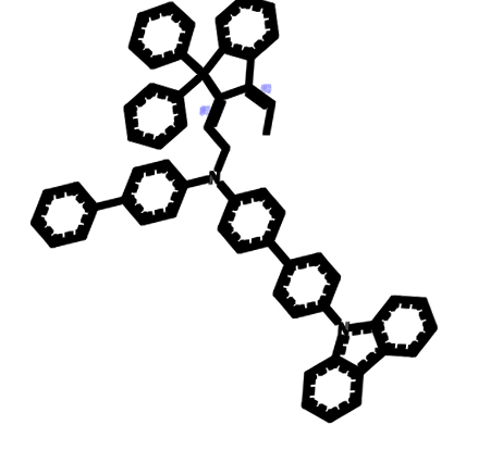 C/C=C1\C(=C/CN(c2ccc(-c3ccccc3)cc2)c2ccc(-c3ccc(-n4c5ccccc5c5ccccc54)cc3)cc2)C(c2ccccc2)(c2ccccc2)c2ccccc21